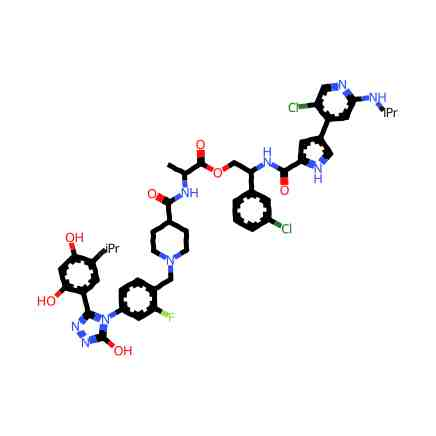 CC(C)Nc1cc(-c2c[nH]c(C(=O)NC(COC(=O)C(C)NC(=O)C3CCN(Cc4ccc(-n5c(O)nnc5-c5cc(C(C)C)c(O)cc5O)cc4F)CC3)c3cccc(Cl)c3)c2)c(Cl)cn1